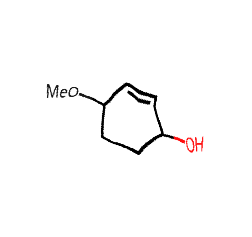 COC1C=CC(O)CC1